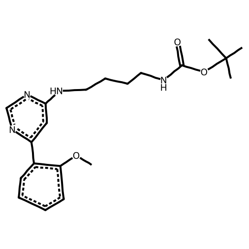 COc1ccccc1-c1cc(NCCCCNC(=O)OC(C)(C)C)ncn1